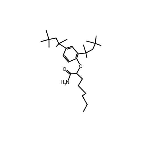 CCCCCCC(Oc1ccc(C(C)(C)CC(C)(C)C)cc1C(C)(C)CC(C)(C)C)C(N)=O